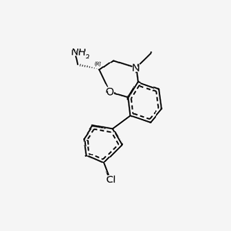 CN1C[C@@H](CN)Oc2c(-c3cccc(Cl)c3)cccc21